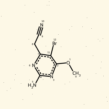 COc1nc(N)nc(CC#N)c1Br